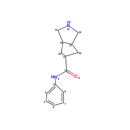 O=C(Nc1ccccc1)C1CC2CNCC2C1